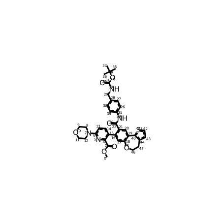 COC(=O)c1nc(N2CCOCC2)ccc1-c1cc2c(cc1C(=O)Nc1ccc(CNC(=O)OC(C)(C)C)cc1)-c1sccc1CCO2